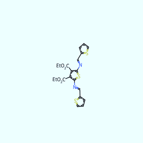 CCOC(=O)c1c(/N=C/c2cccs2)sc(/N=C/c2cccs2)c1C(=O)OCC